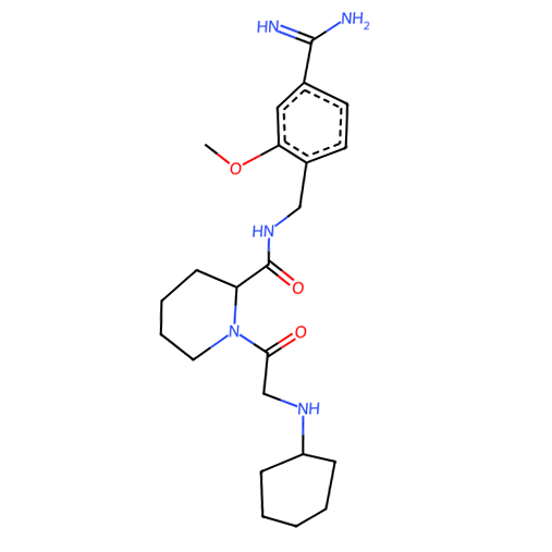 COc1cc(C(=N)N)ccc1CNC(=O)C1CCCCN1C(=O)CNC1CCCCC1